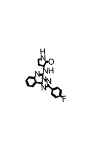 O=C1NCCC1Nc1nc2ccccc2c2nc(-c3ccc(F)cc3)nn12